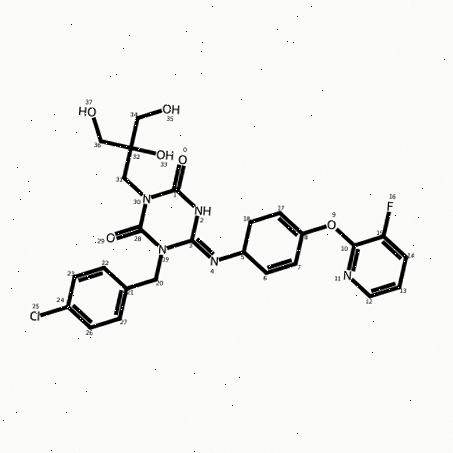 O=c1[nH]/c(=N\C2C=CC(Oc3ncccc3F)=CC2)n(Cc2ccc(Cl)cc2)c(=O)n1CC(O)(CO)CO